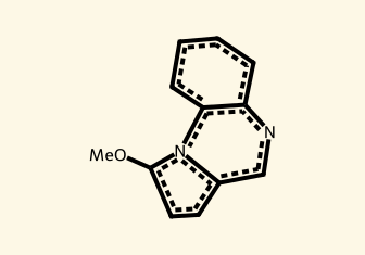 COc1ccc2cnc3ccccc3n12